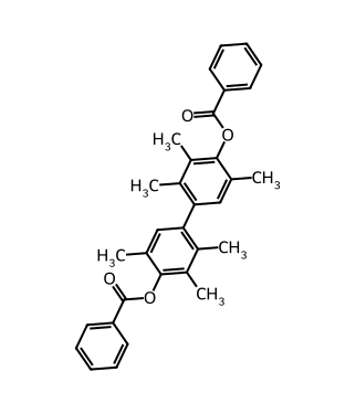 Cc1cc(-c2cc(C)c(OC(=O)c3ccccc3)c(C)c2C)c(C)c(C)c1OC(=O)c1ccccc1